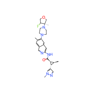 Cc1cc2cnc(NC(=O)[C@H]3[C@@H](C)[C@@H]3c3cnn(C)c3)cc2cc1N1CCN([C@]2(C)COC[C@@H]2F)CC1